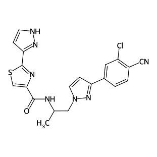 CC(Cn1ccc(-c2ccc(C#N)c(Cl)c2)n1)NC(=O)c1csc(-c2cc[nH]n2)n1